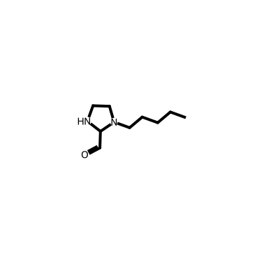 CCCCCN1CCNC1C=O